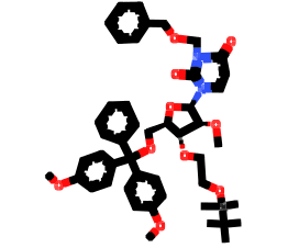 COc1ccc(C(OC[C@H]2O[C@@H](n3ccc(=O)n(COCc4ccccc4)c3=O)[C@H](OC)[C@@H]2OCCO[Si](C)(C)C(C)(C)C)(c2ccccc2)c2ccc(OC)cc2)cc1